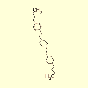 CCCCc1ccc(CCC2CCC(CCC3CCC(CCCC)CC3)CC2)cc1